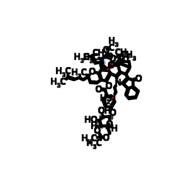 COC(=O)/C(C)=C\CC12OC(C)(C)[C@H]3CC(C1=O)C1C4=C(c5ccccc5C4=O)N(CCN)C4=C1C32Oc1c(CC=C(C)C)c2c(c(OC(=O)c3ccc(O[C@@H]5O[C@@H]6COC(C)(C)O[C@H]6[C@H](O)[C@H]5O)cc3)c14)C=CC(C)(CCC=C(C)C)O2